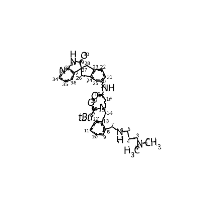 CN(C)CCCNCc1ccccc1CN(CC(=O)Nc1ccc2c(c1)CC1(C2)C(=O)Nc2ncccc21)C(=O)C(C)(C)C